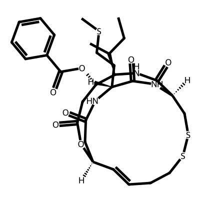 CCC(C)[C@H]1NC(=O)[C@H]2CSSCC/C=C/[C@H](CC(=O)N[C@H](CCSC)C(=O)N2)OC(=O)C[C@@H]1OC(=O)c1ccccc1